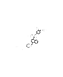 CC(C)Oc1ccc(-c2nc(-c3ccc(CN4CCC(C(=O)O)CC4)c4ccccc34)no2)cc1C#N.Cl